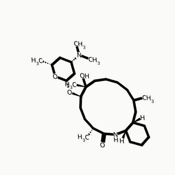 CC1CCCC[C@@](C)(O)[C@H](O[C@H]2C[C@@H](N(C)C)C[C@@H](C)O2)CC[C@@H](C)C(=O)N[C@H]2CCCC[C@H]2C1